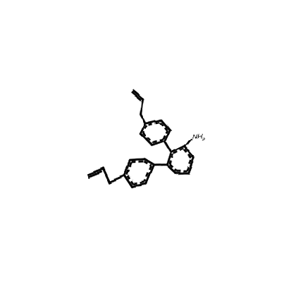 C=CCc1ccc(-c2cccc(N)c2-c2ccc(CC=C)cc2)cc1